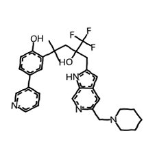 CC(C)(CC(O)(Cc1cc2cc(CN3CCCCC3)ncc2[nH]1)C(F)(F)F)c1cc(-c2cccnc2)ccc1O